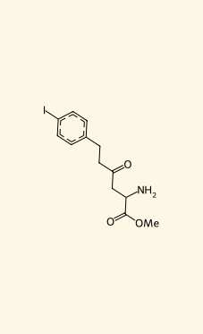 COC(=O)C(N)CC(=O)CCc1ccc(I)cc1